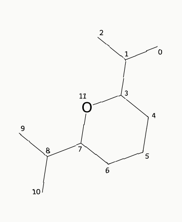 CC(C)C1CCCC(C(C)C)O1